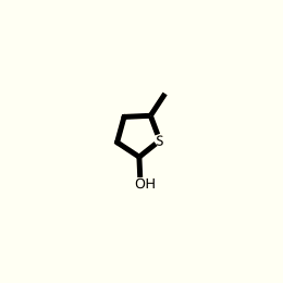 CC1CCC(O)S1